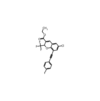 CCOC(=O)C1=Cc2cc(Cl)cc(C#Cc3ccc(F)cc3)c2OC1C(F)(F)F